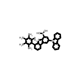 Bc1c(B)c(B)c(-c2cccc3c2sc2c(B(O)O)cc(-n4c5ccccc5c5ccccc54)cc23)c(B)c1B